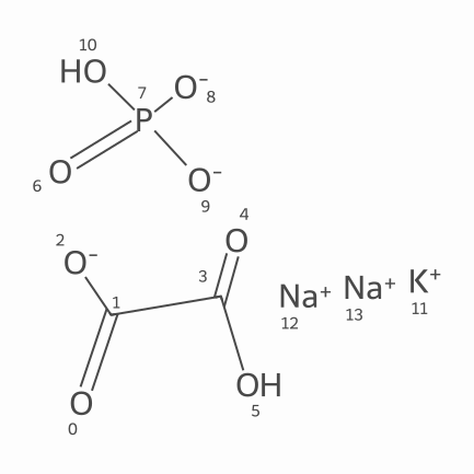 O=C([O-])C(=O)O.O=P([O-])([O-])O.[K+].[Na+].[Na+]